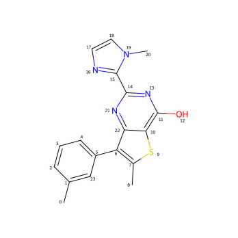 Cc1cccc(-c2c(C)sc3c(O)nc(-c4nccn4C)nc23)c1